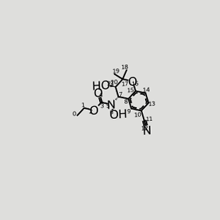 CCOC(=O)N(O)[C@H]1c2cc(C#N)ccc2OC(C)(C)[C@@H]1O